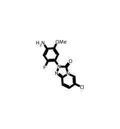 COc1cc(-n2nc3ccc(Cl)cn3c2=O)c(F)cc1N